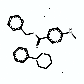 CNc1ccc(C(=O)OCc2ccccc2)cc1.c1ccc(C2CCCCC2)cc1